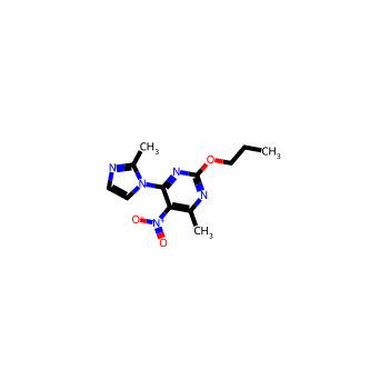 CCCOc1nc(C)c([N+](=O)[O-])c(-n2ccnc2C)n1